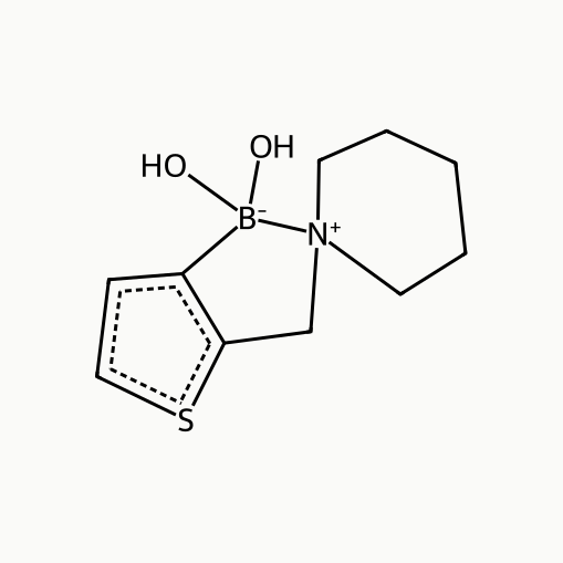 O[B-]1(O)c2ccsc2C[N+]12CCCCC2